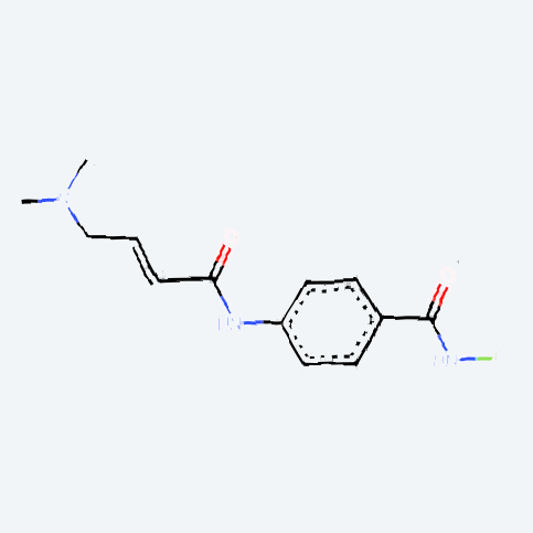 CN(C)C/C=C/C(=O)Nc1ccc(C(=O)NF)cc1